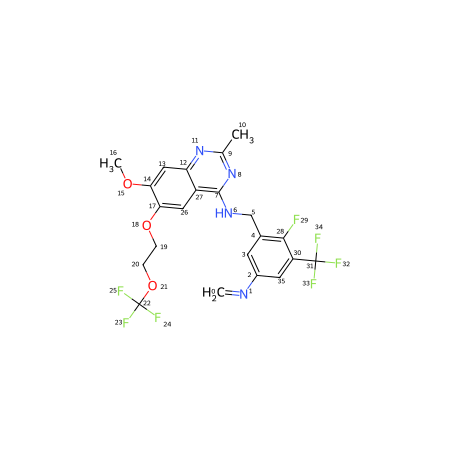 C=Nc1cc(CNc2nc(C)nc3cc(OC)c(OCCOC(F)(F)F)cc23)c(F)c(C(F)(F)F)c1